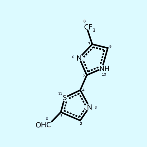 O=Cc1cnc(-c2nc(C(F)(F)F)c[nH]2)s1